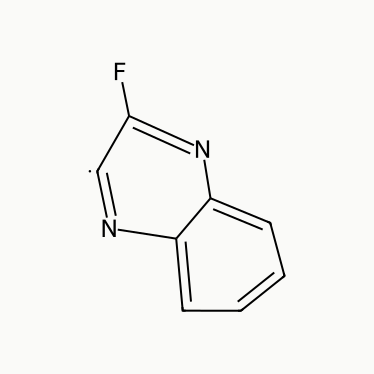 Fc1[c]nc2ccccc2n1